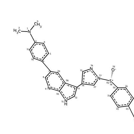 CN(C)c1ccc(-c2cnc3[nH]cc(-c4cnn([S@+]([O-])c5ccc(C#N)cc5)c4)c3c2)cc1